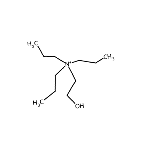 CCC[N+](CCC)(CCC)CCO